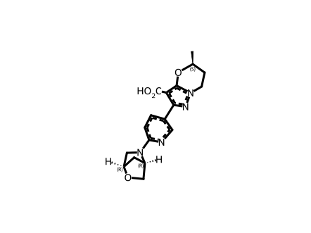 C[C@H]1CCn2nc(-c3ccc(N4C[C@H]5C[C@@H]4CO5)nc3)c(C(=O)O)c2O1